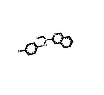 O=CN(Nc1ccc(F)cc1)c1cc2ccccc2cn1